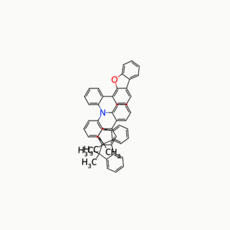 CC1(C)c2ccccc2-c2cc(-c3ccccc3N(c3ccccc3-c3cccc4c3oc3ccccc34)c3cccc4c3-c3ccccc3C4(C)C)ccc21